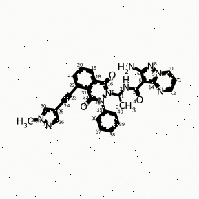 C[C@H](NC(=O)c1c(N)nn2cccnc12)n1c(=O)c2cccc(C#Cc3cnn(C)c3)c2c(=O)n1-c1ccccc1